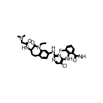 CCN1C(=O)C(NC(=O)CN(C)C)CCc2ccc(Nc3ncc(Cl)c(Nc4c(F)cccc4C(=O)NC)n3)cc21